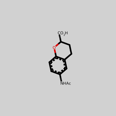 CC(=O)Nc1ccc2c(c1)CCC(C(=O)O)O2